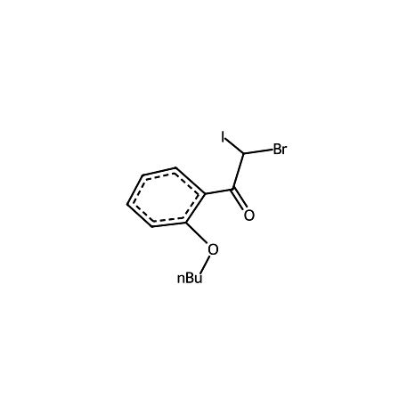 CCCCOc1ccccc1C(=O)C(Br)I